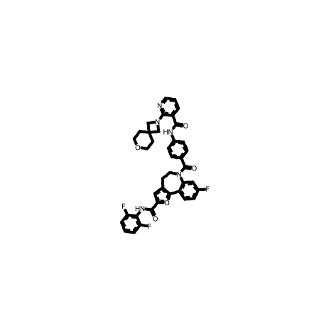 O=C(Nc1c(F)cccc1F)c1cc2c(o1)-c1ccc(F)cc1N(C(=O)c1ccc(NC(=O)c3cccnc3N3CC4(CCOCC4)C3)cc1)CC2